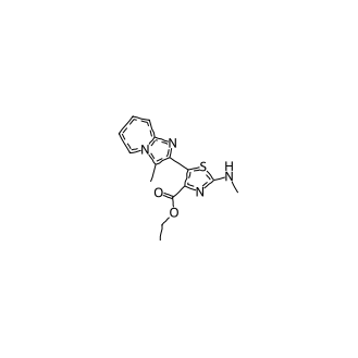 CCOC(=O)c1nc(NC)sc1-c1nc2ccccn2c1C